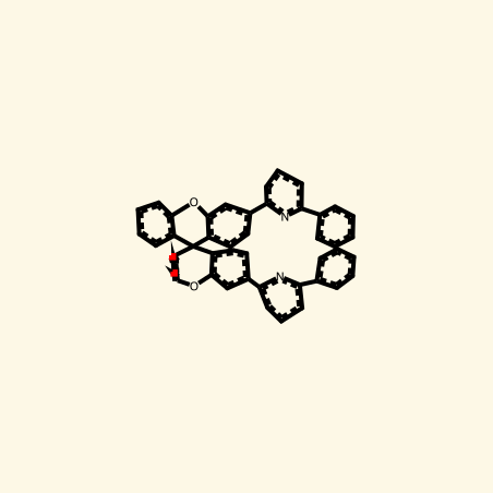 c1ccc(-c2cccc(-c3ccc4c(c3)Oc3ccccc3C43c4ccccc4Oc4cc(-c5cccc(-c6ccccc6)n5)ccc43)n2)cc1